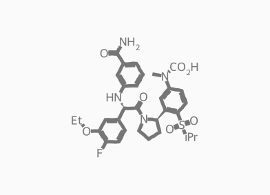 CCOc1cc([C@H](Nc2cccc(C(N)=O)c2)C(=O)N2CCC[C@@H]2c2cc(N(C)C(=O)O)ccc2S(=O)(=O)C(C)C)ccc1F